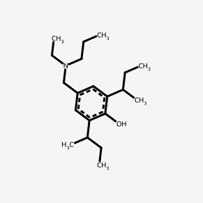 CCCN(CC)Cc1cc(C(C)CC)c(O)c(C(C)CC)c1